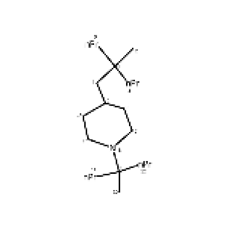 CCCC(C)(CCC)CC1CCN(C(C)(CCC)CCC)CC1